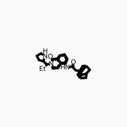 CCC(C1CCCN1)n1ccc2c(NC(=O)CC34CC5CC(CC(C5)C3)C4)cccc2c1=O